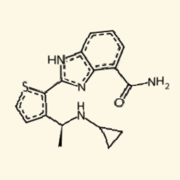 C[C@H](NC1CC1)c1ccsc1-c1nc2c(C(N)=O)cccc2[nH]1